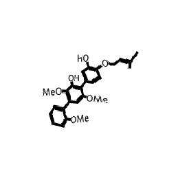 COc1ccccc1-c1cc(OC)c(-c2ccc(OCC=C(C)C)c(O)c2)c(O)c1OC